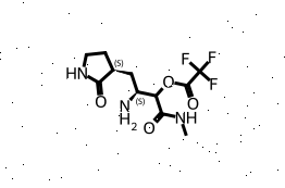 CNC(=O)C(OC(=O)C(F)(F)F)[C@@H](N)C[C@@H]1CCNC1=O